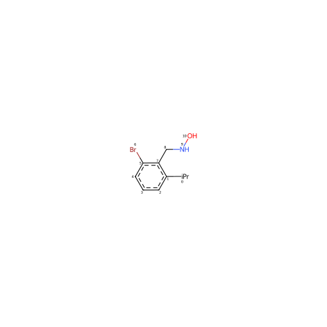 CC(C)c1cccc(Br)c1CNO